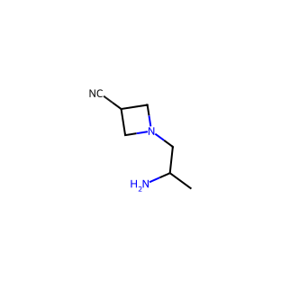 CC(N)CN1CC(C#N)C1